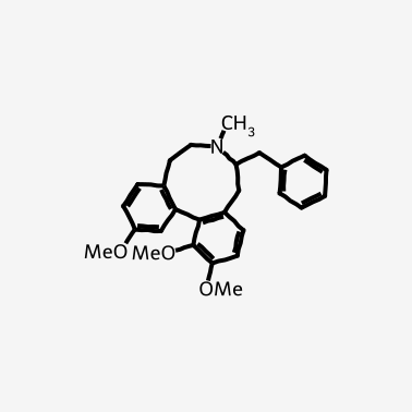 COc1ccc2c(c1)-c1c(ccc(OC)c1OC)CC(Cc1ccccc1)N(C)CC2